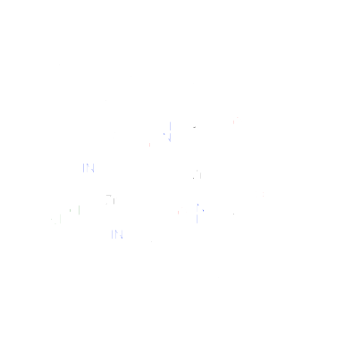 O=C([NH][Zr+][NH]C(=O)c1ccccc1)c1ccccc1.O=C([NH][Zr+][NH]C(=O)c1ccccc1)c1ccccc1.[Cl-].[Cl-]